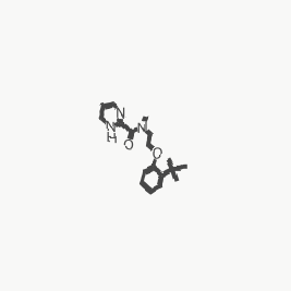 CN(CCOc1ccccc1C(C)(C)C)C(=O)C1=NC=CCN1